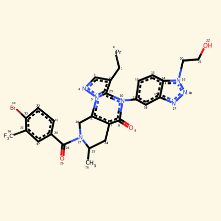 CC(C)Cc1cnn2c3c(c(=O)n(-c4ccc5c(c4)nnn5CCO)c12)CC(C)N(C(=O)c1ccc(Br)c(C(F)(F)F)c1)C3